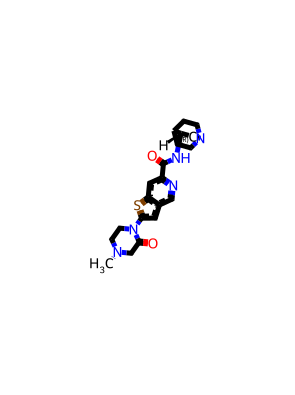 CN1CCN(c2cc3cnc(C(=O)N[C@H]4CN5CCC4CC5)cc3s2)C(=O)C1